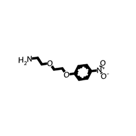 NCCOCCOc1ccc([N+](=O)[O-])cc1